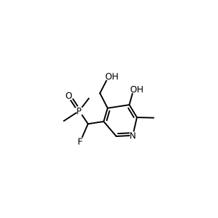 Cc1ncc(C(F)P(C)(C)=O)c(CO)c1O